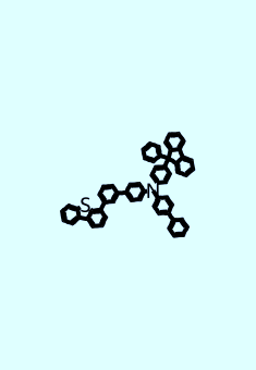 c1ccc(-c2ccc(N(c3ccc(-c4cccc(-c5cccc6c5sc5ccccc56)c4)cc3)c3ccc(C4(c5ccccc5)c5ccccc5-c5ccccc54)cc3)cc2)cc1